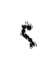 CN1C[C@H](Nc2cnn(C)c(=O)c2Cl)C[C@H](c2ccc(C(=O)N3CCC4(CC3)CCN(c3ccc(CN5CCC(=O)NC5=O)cc3)CC4)cc2)C1